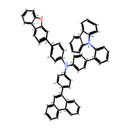 c1ccc(-n2c3ccccc3c3ccccc32)c(-c2ccc(N(c3ccc(-c4ccc5c(c4)oc4ccccc45)cc3)c3ccc(-c4cc5ccccc5c5ccccc45)cc3)cc2)c1